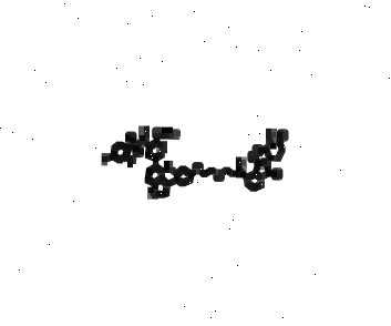 COc1ncc(-c2ccc3nccc(-c4ccc(OCCOCCNc5cccc6c5C(=O)N(C5CCC(=O)NC5=O)C6=O)cc4F)c3c2)cc1NS(=O)(=O)c1ccc(F)cc1F